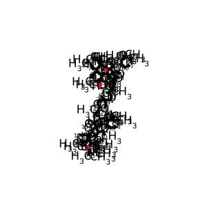 CCC(C(=O)OC1CCN(C)C(C)(C)C1(C)C)C(C(=O)OCC(C)(C)C1OCC2(CO1)COC(C(C)(C)COC(=O)C(C(=O)OC1CCN(C)C(C)(C)C1(C)C)(C(=O)OC1CCN(C)C(C)(C)C1(C)C)C(CC)C(=O)OC1CCN(C)C(C)(C)C1(C)C)OC2)(C(=O)OC1CCN(C)C(C)(C)C1(C)C)C(=O)OC1CCN(C)C(C)(C)C1(C)C